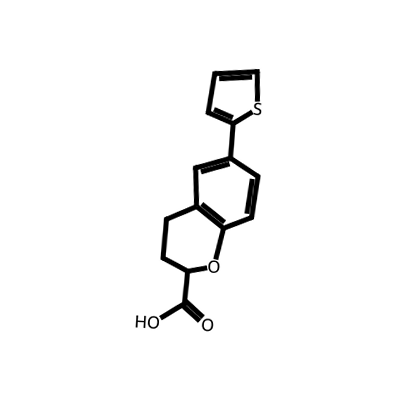 O=C(O)C1CCc2cc(-c3cccs3)ccc2O1